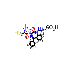 CN(C(=O)C(N)CS)C1N=C(c2ccccc2)c2ccccc2N(CC(=O)NCC(=O)O)C1=O